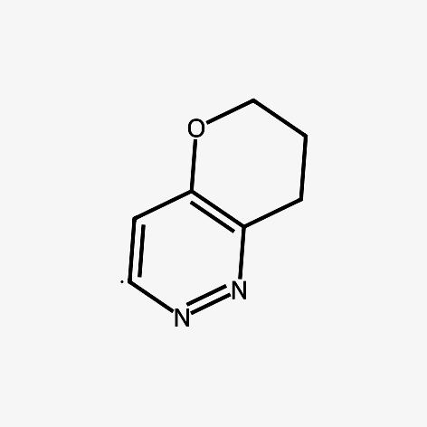 [c]1cc2c(nn1)CCCO2